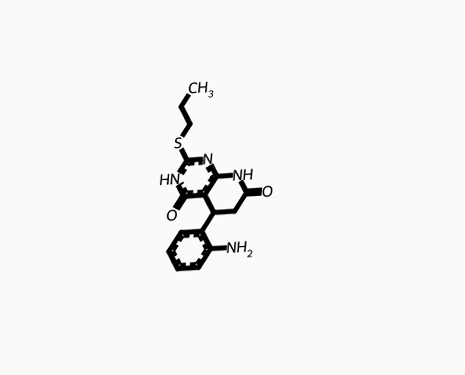 CCCSc1nc2c(c(=O)[nH]1)C(c1ccccc1N)CC(=O)N2